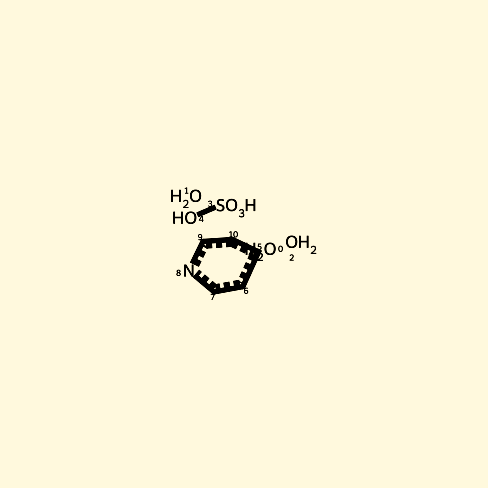 O.O.O.O=S(=O)(O)O.c1ccncc1